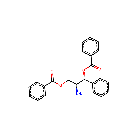 N[C@@H](COC(=O)c1ccccc1)[C@@H](OC(=O)c1ccccc1)c1ccccc1